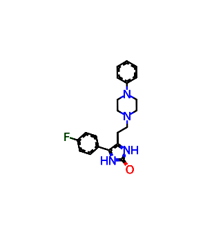 O=c1[nH]c(CCN2CCN(c3ccccc3)CC2)c(-c2ccc(F)cc2)[nH]1